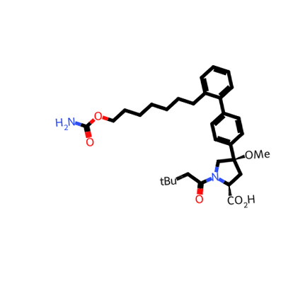 CO[C@@]1(c2ccc(-c3ccccc3CCCCCCCOC(N)=O)cc2)C[C@@H](C(=O)O)N(C(=O)CC(C)(C)C)C1